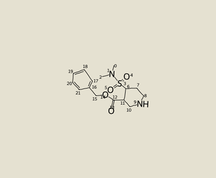 CN(C)S(=O)(=O)C1CCNCC1C(=O)OCc1ccccc1